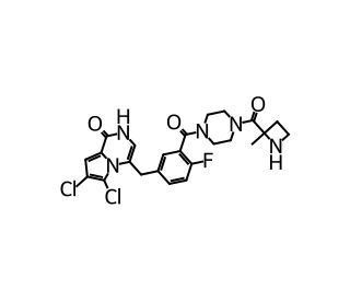 CC1(C(=O)N2CCN(C(=O)c3cc(Cc4c[nH]c(=O)c5cc(Cl)c(Cl)n45)ccc3F)CC2)CCN1